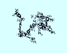 CSCc1nc2cc(C(=O)NCCOCCOCCC(=O)N[C@H](C(=O)N[C@@H](CCCNC(N)=O)C(=O)Nc3ccc(COC(=O)NC(CN[C@@H](CC(N)=O)c4nc(N)c(C)c(C(=O)N[C@H](C(=O)N[C@H](C)[C@@H](O)[C@H](C)C(N)=O)[C@@H](C)O[C@@H]5C[C@@H](CO)[C@@H](O)[C@H](O)[C@@H]5O[C@H]5O[C@H](CO)C[C@H](OC(N)=O)[C@@H]5O)n4)C(N)=O)cc3)C(C)C)ccc2nc1CS